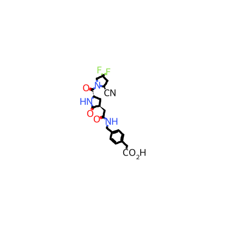 N#C[C@@H]1CC(F)(F)CN1C(=O)[C@@H]1C[C@@H](CC(=O)NCc2ccc(CC(=O)O)cc2)C(=O)N1